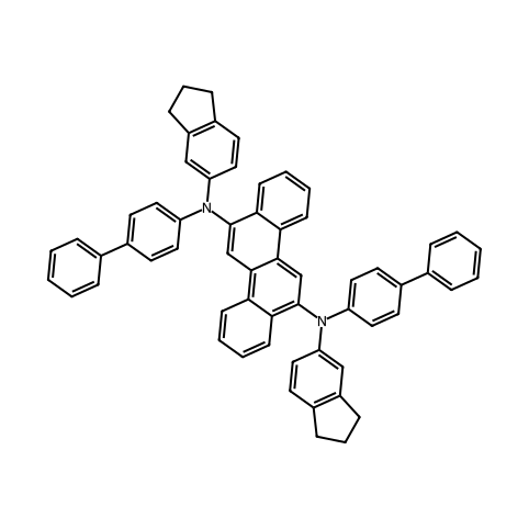 c1ccc(-c2ccc(N(c3ccc4c(c3)CCC4)c3cc4c5ccccc5c(N(c5ccc(-c6ccccc6)cc5)c5ccc6c(c5)CCC6)cc4c4ccccc34)cc2)cc1